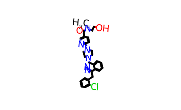 CN(CCO)C(=O)c1ccc(N2CCN(c3nnc(Cc4ccccc4Cl)c4ccccc34)CC2)nc1